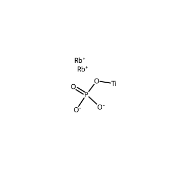 O=P([O-])([O-])[O][Ti].[Rb+].[Rb+]